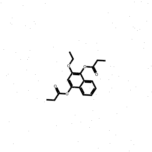 CCOc1cc(OC(=O)CC)c2ccccc2c1OC(=O)CC